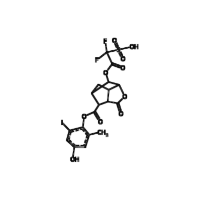 Cc1cc(O)cc(I)c1OC(=O)C1C2CC3C(OC(=O)C31)C2OC(=O)C(F)(F)S(=O)(=O)O